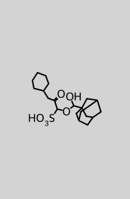 O=C(CC1CCCCC1)C(OC(O)C12CC3CC(CC(C3)C1)C2)S(=O)(=O)O